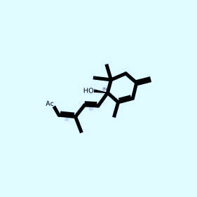 C=C1C=C(C)[C@](O)(/C=C/C(C)=C\C(C)=O)C(C)(C)C1